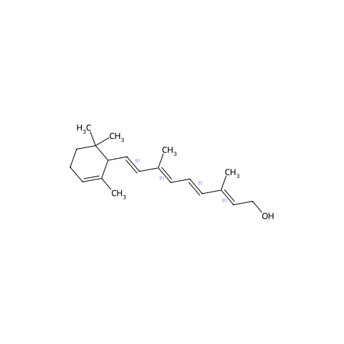 CC1=CCCC(C)(C)C1/C=C/C(C)=C/C=C/C(C)=C/CO